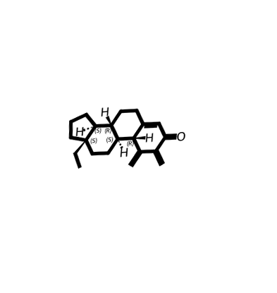 C=C1C(=C)[C@H]2C(=CC1=O)CC[C@@H]1[C@@H]2CC[C@]2(CC)CCC[C@@H]12